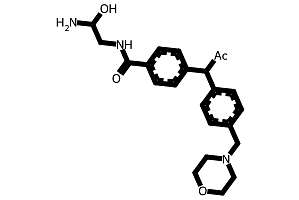 CC(=O)C(c1ccc(CN2CCOCC2)cc1)c1ccc(C(=O)NCC(N)O)cc1